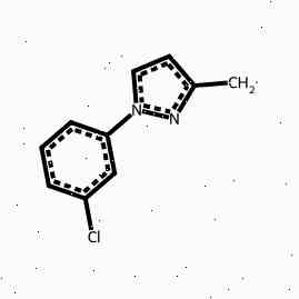 [CH2]c1ccn(-c2cccc(Cl)c2)n1